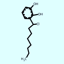 CCCCCCCC(Cl)c1cccc(O)c1O